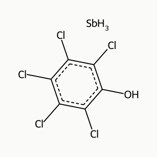 Oc1c(Cl)c(Cl)c(Cl)c(Cl)c1Cl.[SbH3]